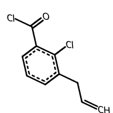 C=CCc1cccc(C(=O)Cl)c1Cl